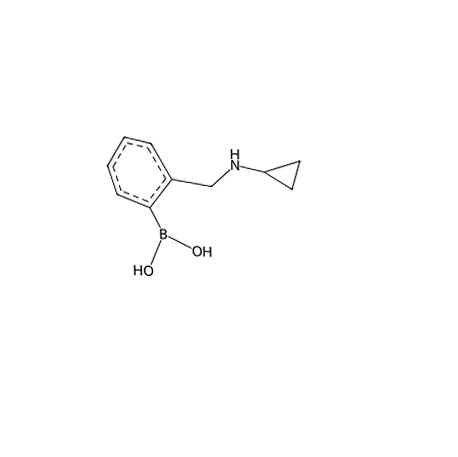 OB(O)c1ccccc1CNC1CC1